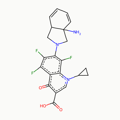 NC12C=CC=CC1CN(c1c(F)c(F)c3c(=O)c(C(=O)O)cn(C4CC4)c3c1F)C2